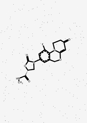 CNC(=O)[C@H]1CN(c2cc(F)c3c(c2)COC2=CC(=O)CCN23)C(=O)O1